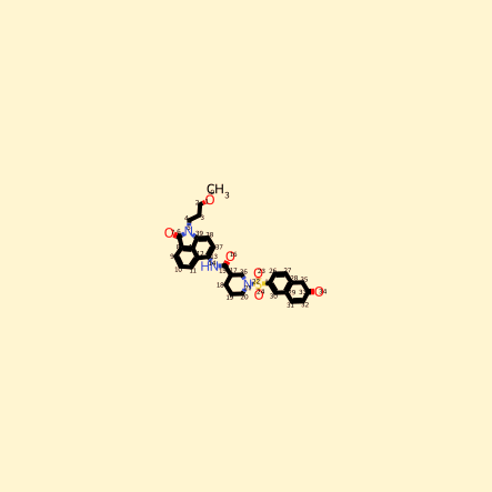 COCCCN1C(=O)c2cccc3c(NC(=O)C4CCCN(S(=O)(=O)c5ccc6c(c5)C=CC(=O)C6)C4)ccc1c23